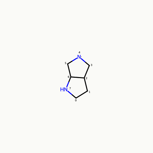 C1CC2C[N]CC2N1